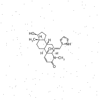 CN1C(=O)C=C[C@]2(C)[C@H]3CC[C@]4(C)[C@@H](O)CC[C@H]4[C@@H]3CC(=Cc3ccc[nH]3)[C@@H]12